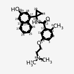 Cc1ccc(OCCN(C)C)cc1C(=O)NC1(c2cc(O)cc3ccccc23)CC1